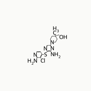 CC1(CO)CCN(c2cnc(Sc3ccnc(N)c3Cl)c(N)n2)CC1